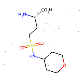 N[C@@H](CCS(=O)(=O)NC1CCOCC1)C(=O)O